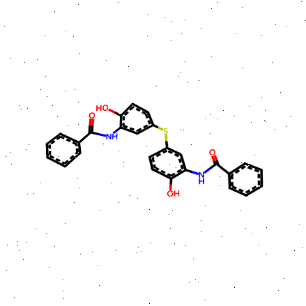 O=C(Nc1cc(Sc2ccc(O)c(NC(=O)c3ccccc3)c2)ccc1O)c1ccccc1